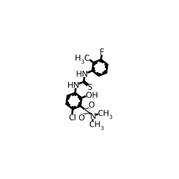 Cc1c(F)cccc1NC(=S)Nc1ccc(Cl)c(S(=O)(=O)N(C)C)c1O